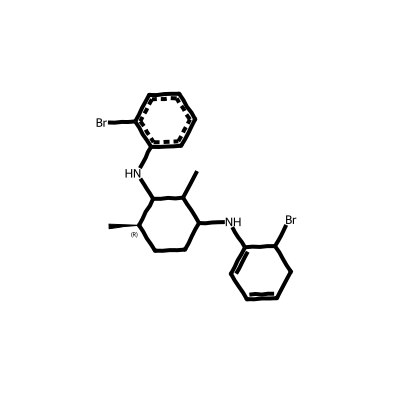 CC1C(NC2=CC=CCC2Br)CC[C@@H](C)C1Nc1ccccc1Br